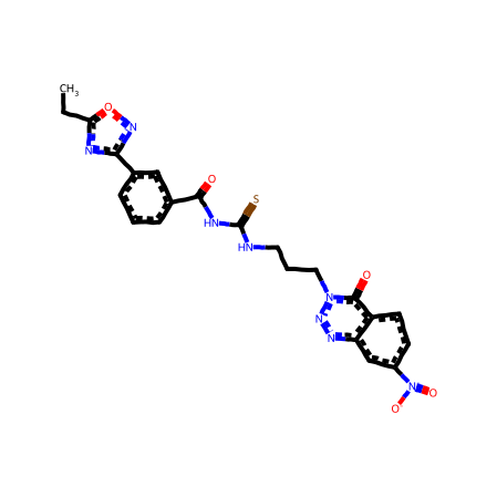 CCc1nc(-c2cccc(C(=O)NC(=S)NCCCn3nnc4cc([N+](=O)[O-])ccc4c3=O)c2)no1